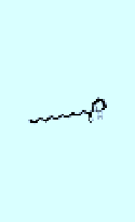 CCCCCCCCCCCC(=O)N1C=CC=CN1